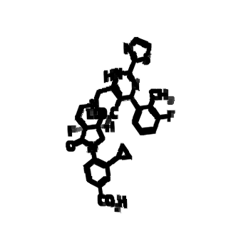 CCOC(=O)C1=C(CN2CC[C@]3(F)C(=O)N(c4ccc(C(=O)O)cc4C4CC4)C[C@@H]3C2)NC(c2nccs2)=N[C@H]1c1cccc(F)c1C